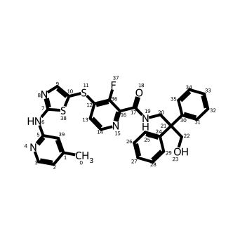 Cc1ccnc(Nc2ncc(Sc3ccnc(C(=O)NCC(CO)(c4ccccc4)c4ccccc4)c3F)s2)c1